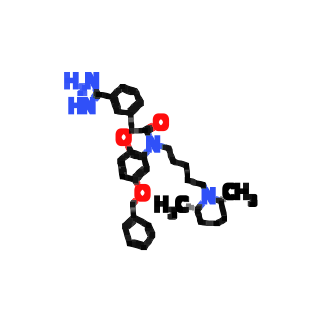 C[C@@H]1CCC[C@H](C)N1CCCCCN1C(=O)C(c2cccc(C(=N)N)c2)Oc2ccc(OCc3ccccc3)cc21